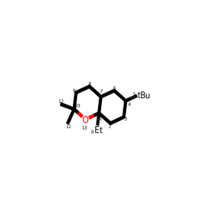 CCC12CCC(C(C)(C)C)CC1CCC(C)(C)O2